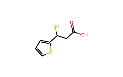 O=C(O)CC(S)c1cccs1